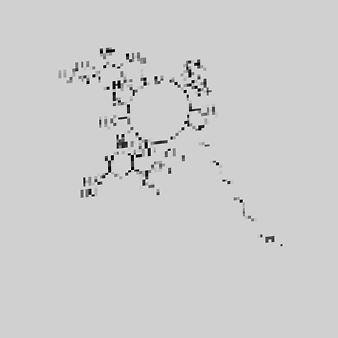 CC[C@H]1OC(=O)[C@H](C)[C@@H](O[C@H]2C[C@@](C)(OC)[C@@H](O)[C@H](C)O2)[C@H](C)[C@@H](O[C@@H]2O[C@H](C)C[C@H](N(C)C)[C@H]2O)[C@](C)(O)C[C@@H](C)CN(C(=O)CCCCCCCCCCCP)[C@H](C)[C@@H](O)[C@]1(C)O.Cl